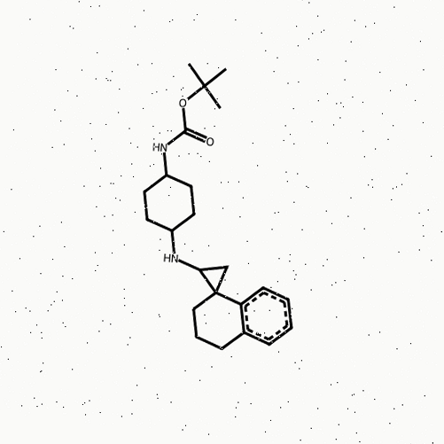 CC(C)(C)OC(=O)NC1CCC(NC2CC23CCCc2ccccc23)CC1